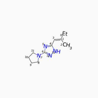 CC/C(C)=C/c1nc(N2CCCC2)n[nH]1